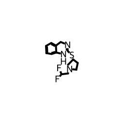 FC(F)CN1CCC(SC2=NCc3ccccc3N2)C1